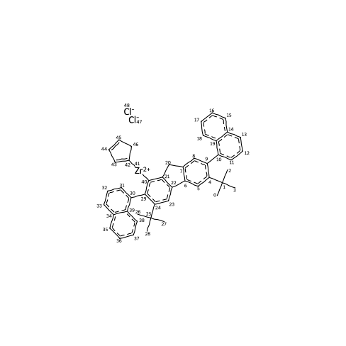 CC(C)(C)c1cc2c(cc1-c1cccc3ccccc13)Cc1c-2cc(C(C)(C)C)c(-c2cccc3ccccc23)[c]1[Zr+2][C]1=CC=CC1.[Cl-].[Cl-]